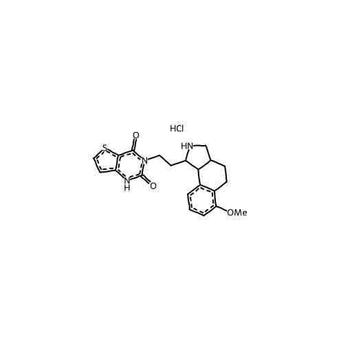 COc1cccc2c1CCC1CNC(CCn3c(=O)[nH]c4ccsc4c3=O)C21.Cl